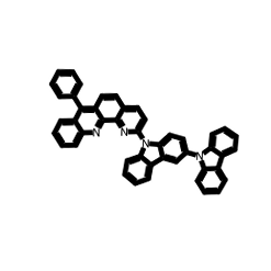 c1ccc(-c2c3ccccc3nc3c2ccc2ccc(-n4c5ccccc5c5cc(-n6c7ccccc7c7ccccc76)ccc54)nc23)cc1